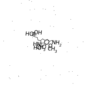 CNC1(C(=O)O)c2cc(OC)c(CN)cc2CC1CCCB(O)O